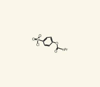 CCCC(=O)Oc1ccc(S(=O)(=O)Cl)cc1